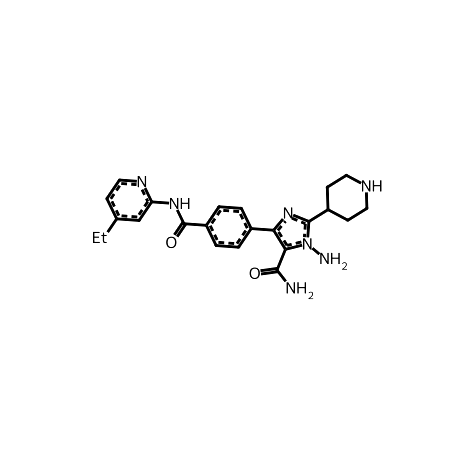 CCc1ccnc(NC(=O)c2ccc(-c3nc(C4CCNCC4)n(N)c3C(N)=O)cc2)c1